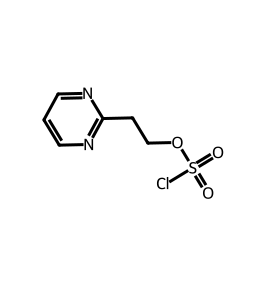 O=S(=O)(Cl)OCCc1ncccn1